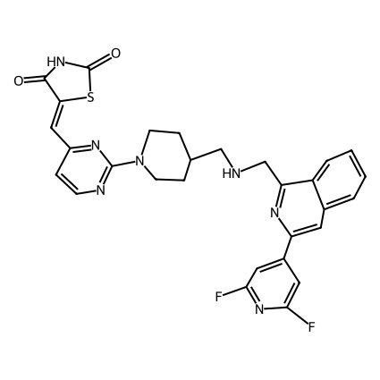 O=C1NC(=O)C(=Cc2ccnc(N3CCC(CNCc4nc(-c5cc(F)nc(F)c5)cc5ccccc45)CC3)n2)S1